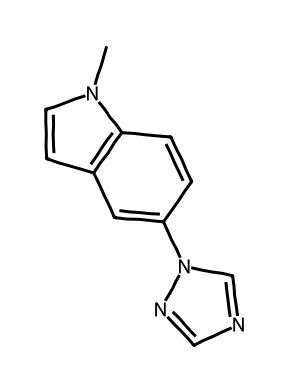 Cn1ccc2cc(-n3cncn3)ccc21